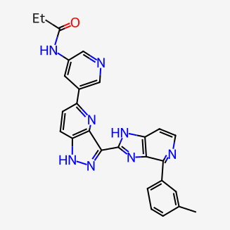 CCC(=O)Nc1cncc(-c2ccc3[nH]nc(-c4nc5c(-c6cccc(C)c6)nccc5[nH]4)c3n2)c1